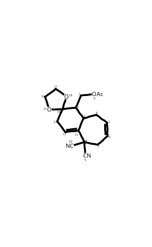 CC(=O)OCC1C2CC=CCC(C#N)(C#N)C2=CCC12OCCO2